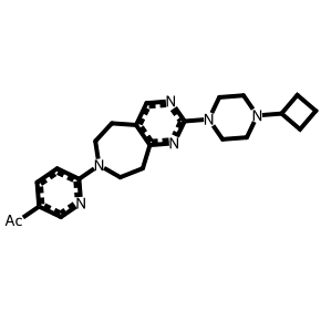 CC(=O)c1ccc(N2CCc3cnc(N4CCN(C5CCC5)CC4)nc3CC2)nc1